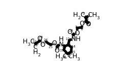 C=C(C)C(=O)OCCOC(=O)NCC1CCC(C)(C)CC1NC(=O)OCCOC(=O)C(=C)C